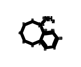 NN1CCCCCc2ccccc21